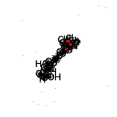 CN(c1ccccc1)c1ccc2c(c1)Oc1cc(OC(=O)OCc3ccc(OCC4=C(C(=O)O)N5C(=O)[C@@H](NC(=O)[C@H]6/C(=C/CO)O[C@@H]7CC(=O)N76)C5SC4)cc3)ccc1C21OC(=O)c2c(Cl)c(Cl)c(Cl)c(Cl)c21